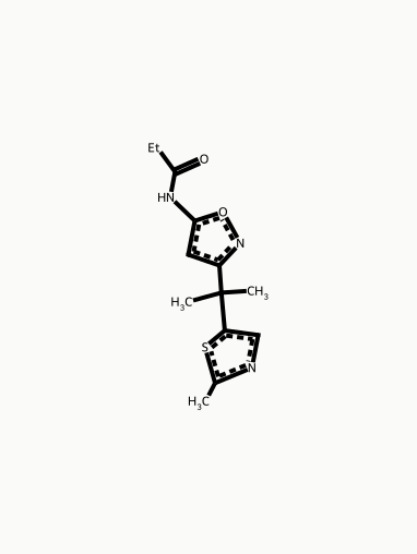 CCC(=O)Nc1cc(C(C)(C)c2cnc(C)s2)no1